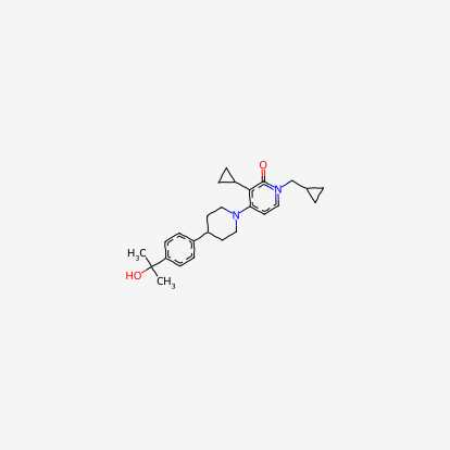 CC(C)(O)c1ccc(C2CCN(c3ccn(CC4CC4)c(=O)c3C3CC3)CC2)cc1